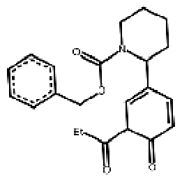 CCC(=O)C1C=C(C2CCCCN2C(=O)OCc2ccccc2)C=CC1=O